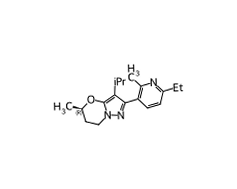 CCc1ccc(-c2nn3c(c2C(C)C)O[C@H](C)CC3)c(C)n1